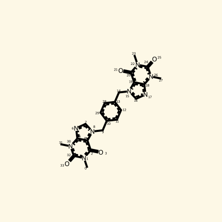 Cn1c(=O)c2c(ncn2Cc2ccc(Cn3cnc4c3c(=O)n(C)c(=O)n4C)cc2)n(C)c1=O